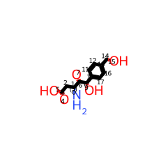 N[C@@H](CC(=O)O)C(=O)C(O)c1ccc(CO)cc1